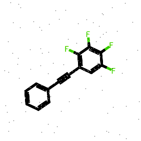 Fc1cc(C#Cc2ccccc2)c(F)c(F)c1F